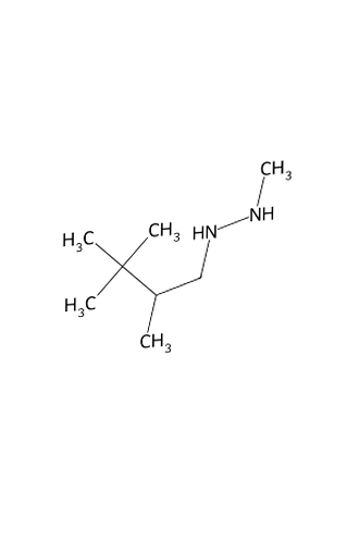 CNNCC(C)C(C)(C)C